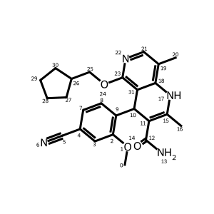 COc1cc(C#N)ccc1C1C(C(N)=O)=C(C)Nc2c(C)cnc(OCC3CCCC3)c21